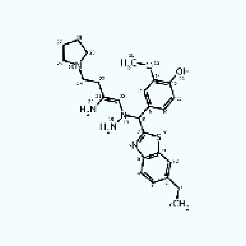 CCc1ccc2nc(C(c3ccc(O)c(OC)c3)N(N)/C=C(\N)CCN3CCCC3)sc2c1